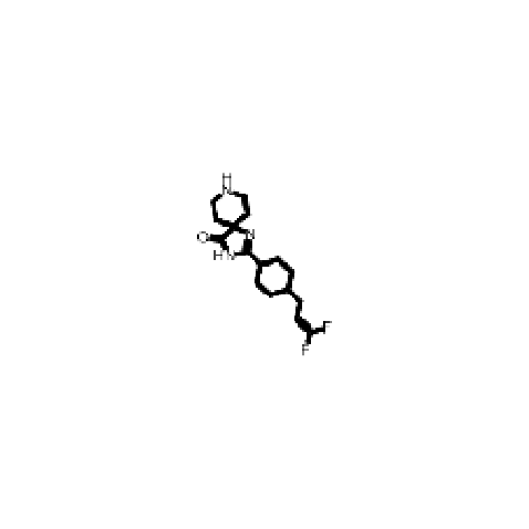 O=C1NC(C2CCC(CC=C(F)F)CC2)=NC12CCNCC2